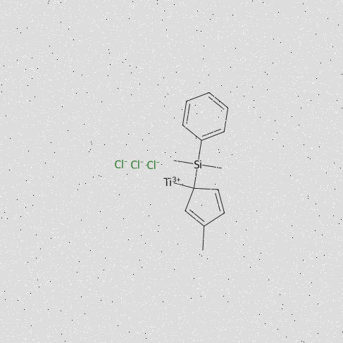 CC1=C[C]([Ti+3])([Si](C)(C)c2ccccc2)C=C1.[Cl-].[Cl-].[Cl-]